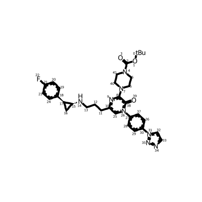 CC(C)(C)OC(=O)N1CCN(c2nc(CCCN[C@@H]3C[C@H]3c3ccc(F)cc3)cn(-c3ccc(-n4ccnn4)cc3)c2=O)CC1